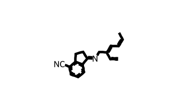 C=C/C(=C\C=C/C)C/N=C1\CCc2c(C#N)cccc21